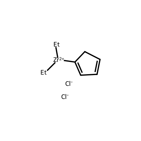 C[CH2][Zr+2]([CH2]C)[C]1=CC=CC1.[Cl-].[Cl-]